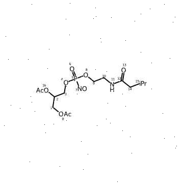 CC(=O)OCC(COP(=O)(N=O)OCCNC(=O)CC(C)C)OC(C)=O